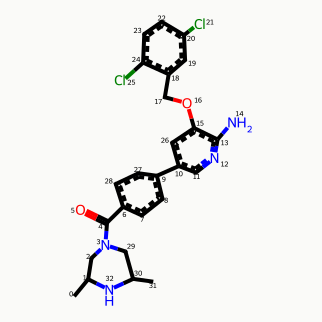 CC1CN(C(=O)c2ccc(-c3cnc(N)c(OCc4cc(Cl)ccc4Cl)c3)cc2)CC(C)N1